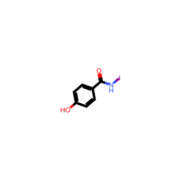 O=C(NI)c1ccc(O)cc1